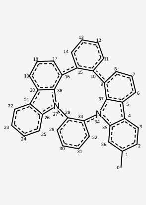 Cc1ccc2c3cccc4c5ccccc5c5cccc6c7ccccc7n(c7ccccc7n(c2c1)c43)c56